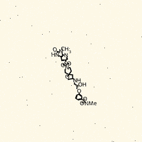 CNS(=O)(=O)c1cccc(OC[C@@H](O)CNC2COC3(CCN(S(=O)(=O)c4cnc5c(c4)[nH]c(=O)n5C)CC3)C2)c1